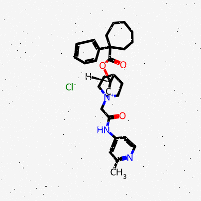 Cc1cc(NC(=O)C[N+]23CCC(CC2)[C@@H](OC(=O)C2(c4ccccc4)CCCCCC2)C3)ccn1.[Cl-]